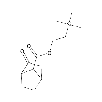 C[Si](C)(C)CCOC(=O)C1C2CCC1C(=O)C2